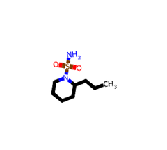 CCCC1CCCCN1S(N)(=O)=O